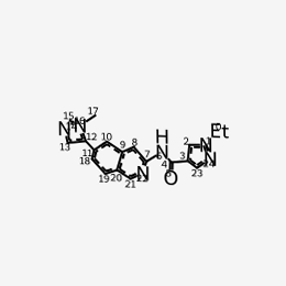 CCn1cc(C(=O)Nc2cc3cc(-c4cncn4C)ccc3cn2)cn1